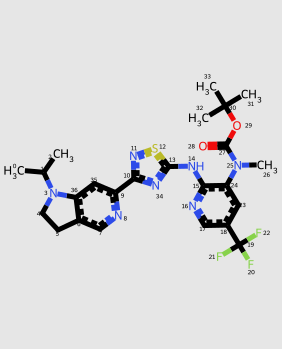 CC(C)N1CCc2cnc(-c3nsc(Nc4ncc(C(F)(F)F)cc4N(C)C(=O)OC(C)(C)C)n3)cc21